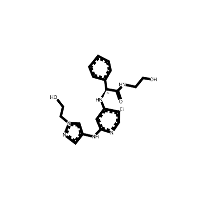 O=C(NCCO)[C@@H](Nc1cc(Nc2cnn(CCO)c2)ncc1Cl)c1ccccc1